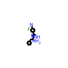 N#Cc1ccc(-c2c[nH]c([C@@H](N)Cc3ccccc3)n2)cc1F